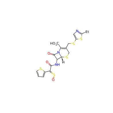 CCc1ncc(SCC2=C(C(=O)O)N3C(=O)C(NC(=O)C(=S=O)c4cccs4)[C@H]3SC2)s1